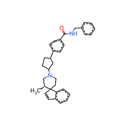 C[C@H]1CN(C2CCC(c3ccc(C(=O)NCc4ccccc4)cc3)C2)CCC12C=Cc1ccccc12